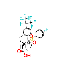 O=C(O)[C@H]1CC[C@@]2(S(=O)(=O)c3ccc(F)cc3)c3ccc(C(F)(C(F)(F)F)C(F)(F)F)cc3CC[C@@H]12